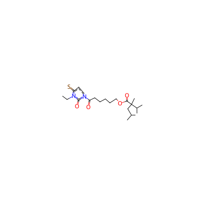 CCn1c(=S)ccn(C(=O)CCCCCOC(=O)C(C)(CC(C)C)C(C)C)c1=O